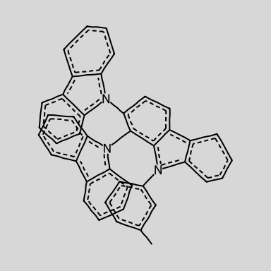 Cc1cccc(-n2c3ccccc3c3ccc(-n4c5ccccc5c5ccccc54)c(-n4c5ccccc5c5ccccc54)c32)c1